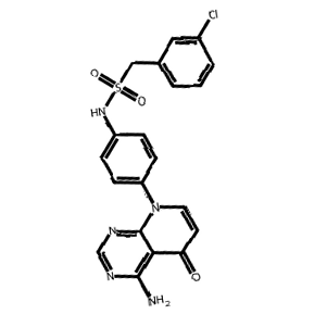 Nc1ncnc2c1c(=O)ccn2-c1ccc(NS(=O)(=O)Cc2cccc(Cl)c2)cc1